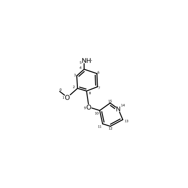 COc1cc([NH])ccc1Oc1cccnc1